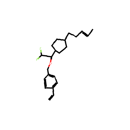 C=Cc1ccc(COC(C(F)F)C2CCC(CC/C=C/C)CC2)cc1